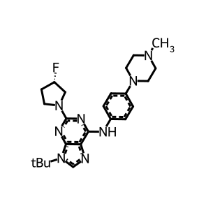 CN1CCN(c2ccc(Nc3nc(N4CC[C@H](F)C4)nc4c3ncn4C(C)(C)C)cc2)CC1